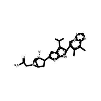 Cc1c(-c2[nH]c3sc(C4CC5C[C@H]4CN5CC(N)=O)cc3c2C(C)C)cn2ncnc2c1C